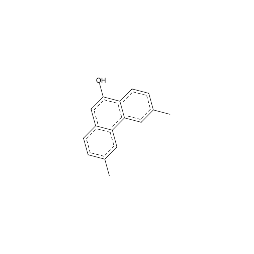 Cc1ccc2cc(O)c3ccc(C)cc3c2c1